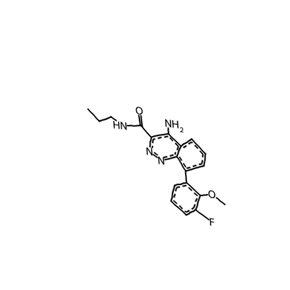 CCCNC(=O)c1nnc2c(-c3cccc(F)c3OC)cccc2c1N